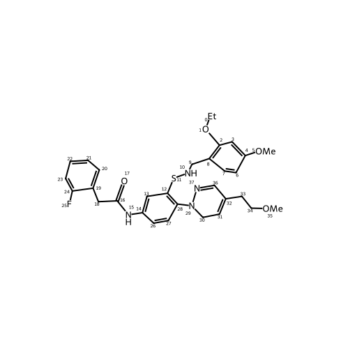 CCOc1cc(OC)ccc1CNSc1cc(NC(=O)Cc2ccccc2F)ccc1N1CC=C(CCOC)C=N1